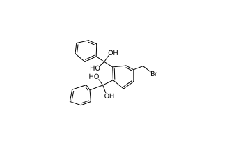 OC(O)(c1ccccc1)c1ccc(CBr)cc1C(O)(O)c1ccccc1